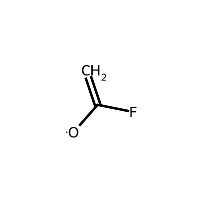 C=C([O])F